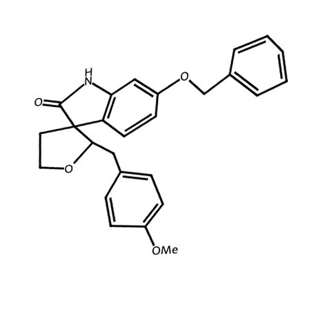 COc1ccc(CC2OCCC23C(=O)Nc2cc(OCc4ccccc4)ccc23)cc1